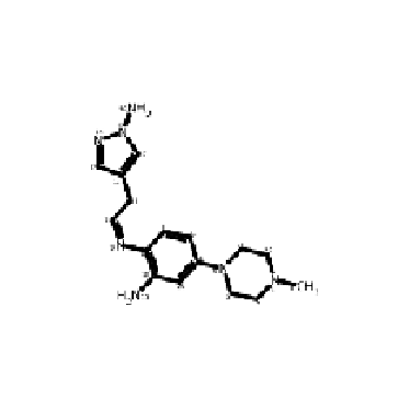 CN1CCN(c2ccc(/N=C\Cc3cnn(N)c3)c(N)c2)CC1